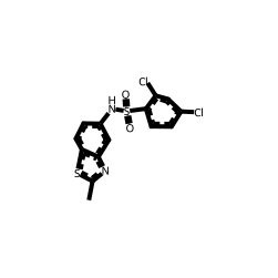 Cc1nc2cc(NS(=O)(=O)c3ccc(Cl)cc3Cl)ccc2s1